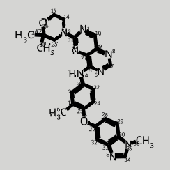 Cc1cc(Nc2ncnc3cnc(N4CCOC(C)(C)C4)nc23)ccc1Oc1ccc2c(c1)ncn2C